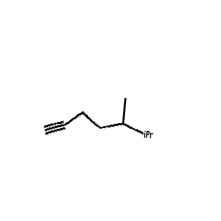 C#CCCC(C)C([CH2])C